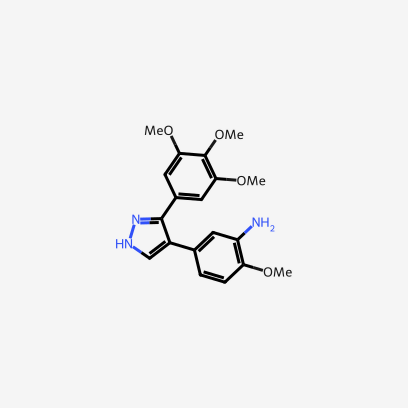 COc1ccc(-c2c[nH]nc2-c2cc(OC)c(OC)c(OC)c2)cc1N